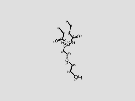 CCC(=O)O.CCCC(=O)O.OCCOCCO